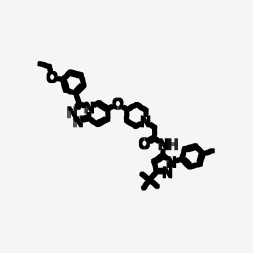 CCOc1cccc(-c2nnc3ccc(OC4CCN(CC(=O)Nc5cc(C(C)(C)C)nn5-c5ccc(C)cc5)CC4)cn23)c1